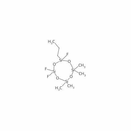 CCC[Si]1(F)O[Si](C)(C)O[Si](C)(C)O[Si](F)(F)O1